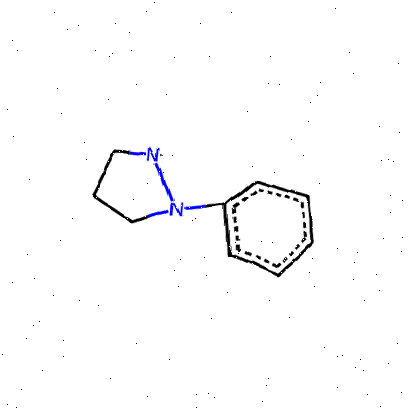 c1ccc(N2CCC[N]2)cc1